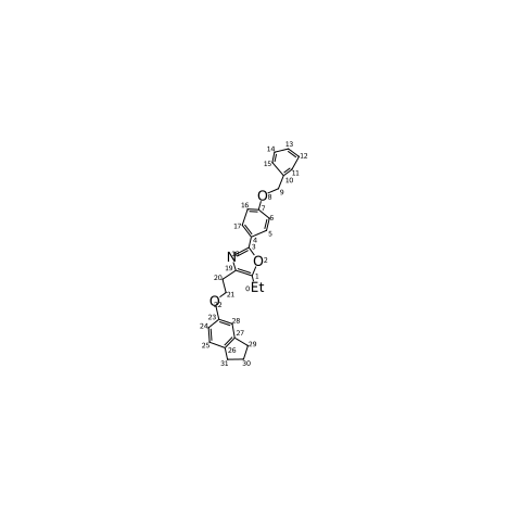 CCc1oc(-c2ccc(OCc3ccccc3)cc2)nc1CCOc1ccc2c(c1)CCC2